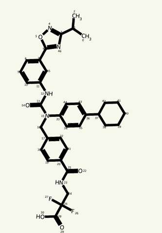 CC(C)c1noc(-c2cccc(NC(=O)N(Cc3ccc(C(=O)NCC(F)(F)C(=O)O)cc3)c3ccc(C4CCCCC4)cc3)c2)n1